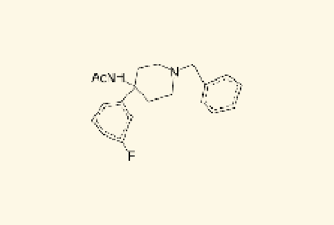 CC(=O)NC1(c2cccc(F)c2)CCN(Cc2ccccc2)CC1